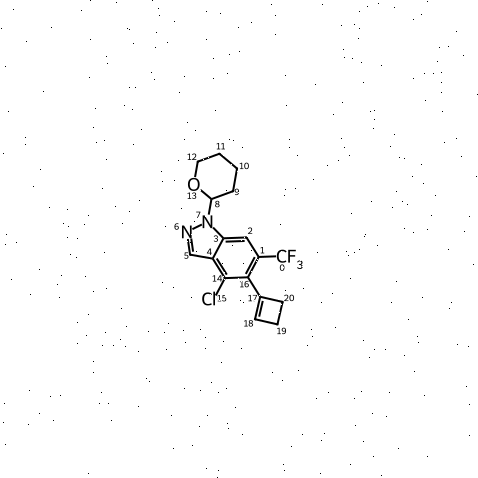 FC(F)(F)c1cc2c(cnn2C2CCCCO2)c(Cl)c1C1=CCC1